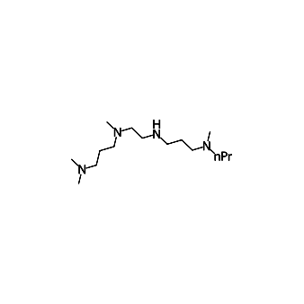 CCCN(C)CCCNCCN(C)CCCN(C)C